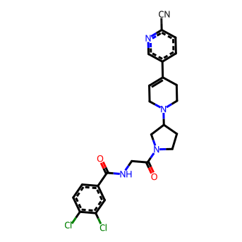 N#Cc1ccc(C2=CCN(C3CCN(C(=O)CNC(=O)c4ccc(Cl)c(Cl)c4)C3)CC2)cn1